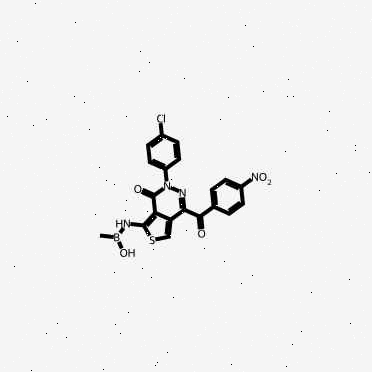 CB(O)Nc1scc2c(C(=O)c3ccc([N+](=O)[O-])cc3)nn(-c3ccc(Cl)cc3)c(=O)c12